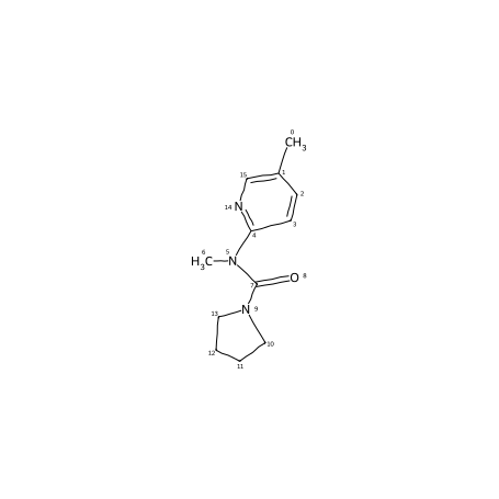 Cc1ccc(N(C)C(=O)N2CCCC2)nc1